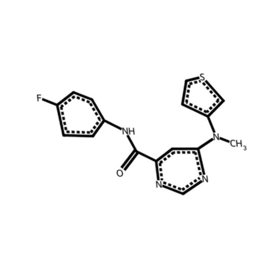 CN(c1ccsc1)c1cc(C(=O)Nc2ccc(F)cc2)ncn1